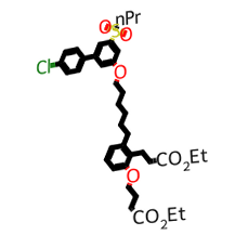 CCCS(=O)(=O)c1cc(OCCCCCCc2cccc(OCCCC(=O)OCC)c2CCC(=O)OCC)cc(-c2ccc(Cl)cc2)c1